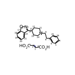 O=C(O)/C=C/C(=O)O.c1ccc(CCN2CCC(c3noc4ccccc34)CC2)cc1